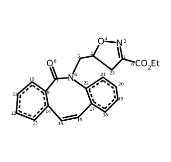 CCOC(=O)C1=NOC(CN2C(=O)c3ccccc3/C=C\c3ccccc32)C1